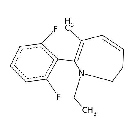 CCN1CCC=CC(C)=C1c1c(F)cccc1F